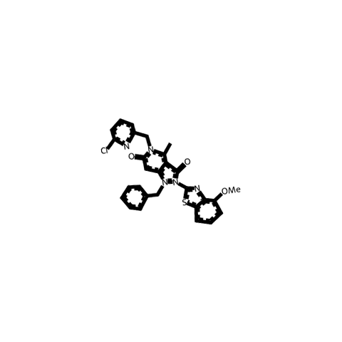 COc1cccc2sc(-n3c(=O)c4c(C)n(Cc5cccc(Cl)n5)c(=O)cc4n3Cc3ccccc3)nc12